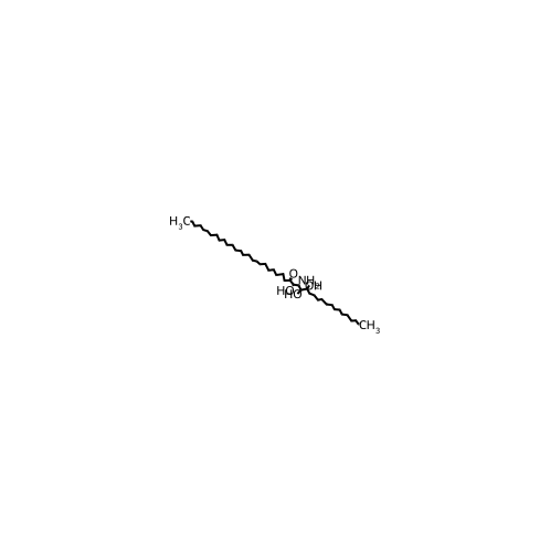 CCCCCCCCCCCCCCCCCCCCCCCCCC(=O)C(O)C(N)C(O)C(O)CCCCCCCCCCCCCC